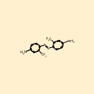 Nc1ccc(N=Nc2ccc(N)cc2C(F)(F)F)c(C(F)(F)F)c1